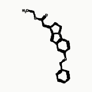 CCOC(=O)C=C1CCn2c1cc1cc(OCc3ccccc3)ccc12